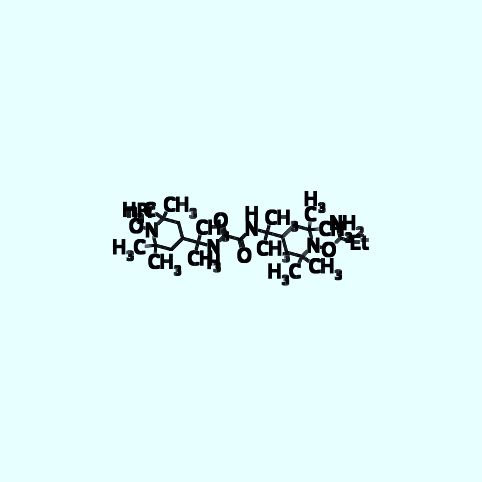 CCCON1C(C)(C)CC(C(C)(C)NC(=O)C(=O)NC(C)(C)C2CC(C)(C)N(OC(N)CC)C(C)(C)C2)CC1(C)C